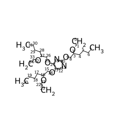 C=COC(CCCC)COc1ncc(OCC(CCCC)OC=C)c(OCC(CCCC)OC=C)n1